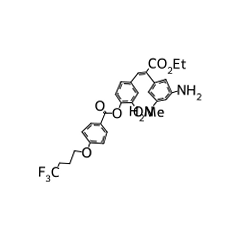 CCOC(=O)C(=Cc1ccc(OC(=O)c2ccc(OCCCC(F)(F)F)cc2)c(OC)c1)c1cc(N)cc(N)c1